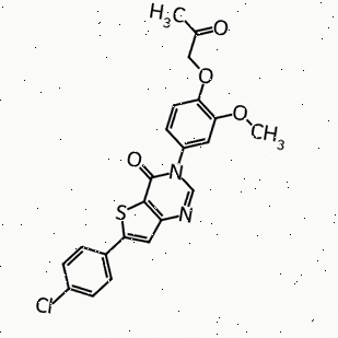 COc1cc(-n2cnc3cc(-c4ccc(Cl)cc4)sc3c2=O)ccc1OCC(C)=O